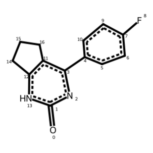 O=c1nc(-c2ccc(F)cc2)c2c([nH]1)CCC2